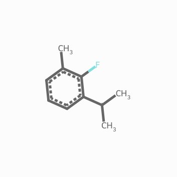 C[C](C)c1cccc(C)c1F